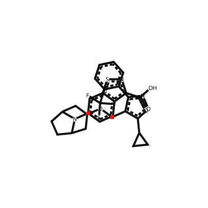 O=C(O)c1nsc2cc(N3C4CCC3CC(OCc3c(-c5ccccc5C(F)(F)F)noc3C3CC3)C4)ccc12